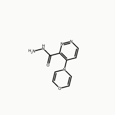 NNC(=O)c1nnccc1N1C=COC=C1